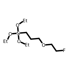 CCO[Si](CCCOCCF)(OCC)OCC